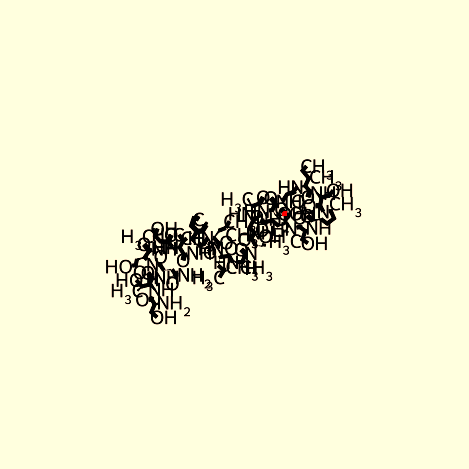 CC[C@H](C)[C@H](NC(=O)CNC(=O)[C@H](CO)NC(=O)[C@H](C)NC(=O)CNC(=O)[C@H](CO)NC(=O)[C@H](C)NC(=O)[C@H](CC(C)C)NC(=O)[C@H](CC(C)C)NC(=O)[C@H](Cc1ccccc1)NC(=O)[C@@H](NC(=O)[C@@H](NC(=O)[C@H](CC(=O)O)NC(=O)[C@H](CC(N)=O)NC(=O)[C@@H](NC(=O)[C@@H](N)CO)[C@@H](C)O)[C@@H](C)O)C(C)C)C(=O)N[C@H](C(=O)N1CCC[C@H]1C(=O)N[C@H](C(=O)N[C@@H](CCC(N)=O)C(=O)O)[C@@H](C)O)[C@@H](C)O